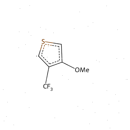 COc1cs[c]c1C(F)(F)F